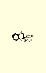 O=S(=O)(O)C1(S(=O)(=O)O)COc2ccccc2O1